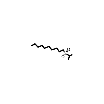 CCCCCCCCCCS(=O)(=O)C(C)C